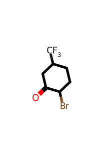 O=C1CC(C(F)(F)F)CCC1Br